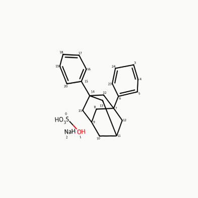 O=S(=O)(O)O.[NaH].c1ccc(C23CC4CC(C2)CC(c2ccccc2)(C4)C3)cc1